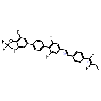 CC/C(F)=C(\F)c1ccc(/C=C/c2cc(F)c(-c3ccc(-c4cc(F)c(OC(F)(F)F)c(F)c4)cc3)c(F)c2)cc1